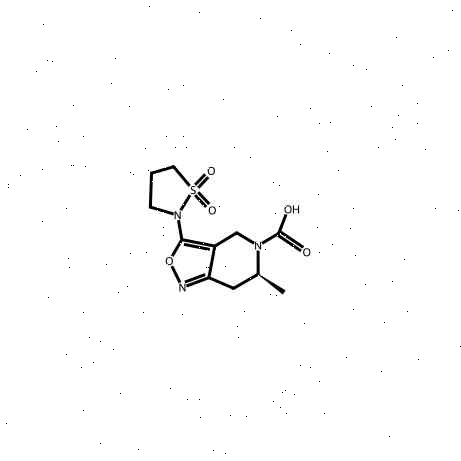 C[C@H]1Cc2noc(N3CCCS3(=O)=O)c2CN1C(=O)O